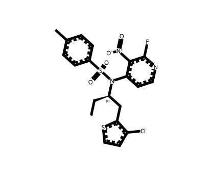 CC[C@H](Cc1sccc1Cl)N(c1ccnc(F)c1[N+](=O)[O-])S(=O)(=O)c1ccc(C)cc1